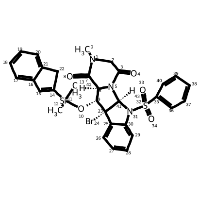 CN1CC(=O)N2[C@H](C1=O)[C@@H](O[Si](C)(C)C1=Cc3ccccc3C1)[C@]1(Br)c3ccccc3N(S(=O)(=O)c3ccccc3)[C@H]21